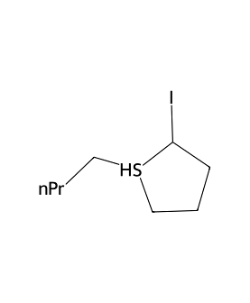 CCCC[SH]1CCCC1I